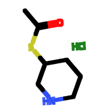 CC(=O)SC1CCCNC1.Cl